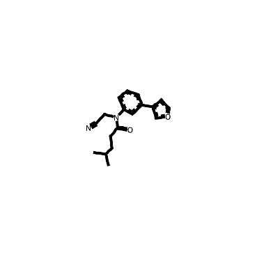 CC(C)CCC(=O)N(CC#N)c1cccc(-c2ccoc2)c1